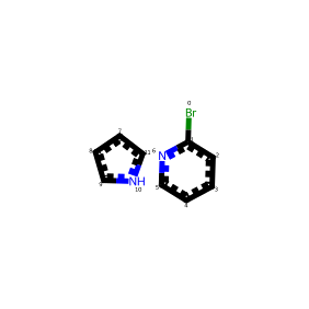 Brc1ccccn1.c1cc[nH]c1